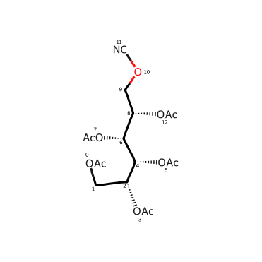 CC(=O)OC[C@@H](OC(C)=O)[C@@H](OC(C)=O)[C@H](OC(C)=O)[C@H](COC#N)OC(C)=O